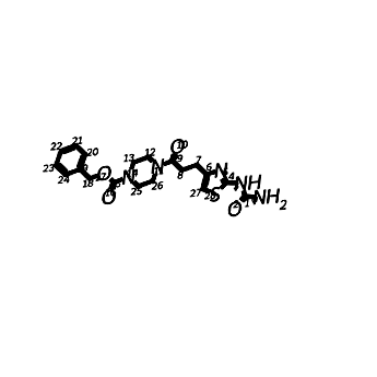 NC(=O)Nc1nc(CCC(=O)N2CCN(C(=O)OCc3ccccc3)CC2)cs1